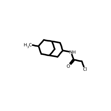 CC1CC2CC(C1)CC(NC(=O)CCl)C2